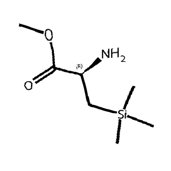 COC(=O)[C@@H](N)C[Si](C)(C)C